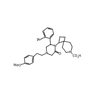 COc1ccc(CCN2CC(=O)N(C3CCC34CCN(C(=O)O)CC4)C(c3ccccc3C(C)C)C2)cc1